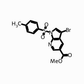 COC(=O)c1cnc2c(c1)c(Br)cn2S(=O)(=O)c1ccc(C)cc1